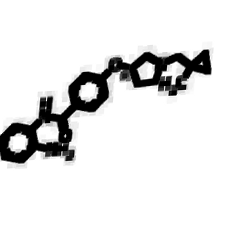 CC1(CN2CC[C@@H](Oc3ccc(C(=O)Nc4ccccc4N)cc3)C2)CC1